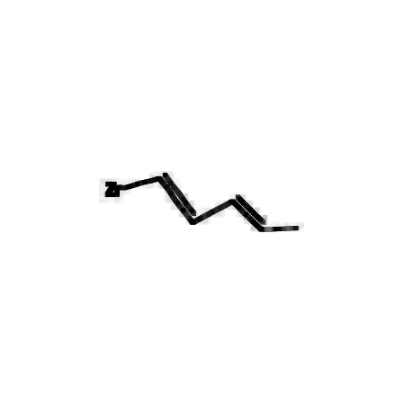 C/C=C/C=[CH]/[Zr]